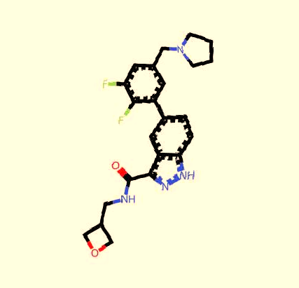 O=C(NCC1COC1)c1n[nH]c2ccc(-c3cc(CN4CCCC4)cc(F)c3F)cc12